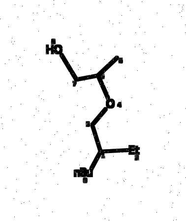 CCCCC(CC)COC(C)CO